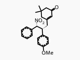 COc1ccc([C@@H](CC2=CC(=O)CC(C)(C)C2)[C@H](c2ccccc2)[N+](=O)[O-])cc1